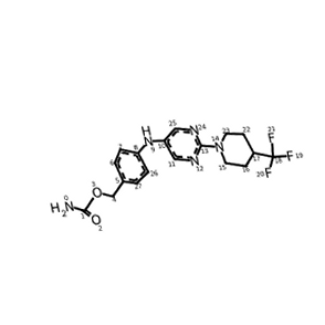 NC(=O)OCc1ccc(Nc2cnc(N3CCC(C(F)(F)F)CC3)nc2)cc1